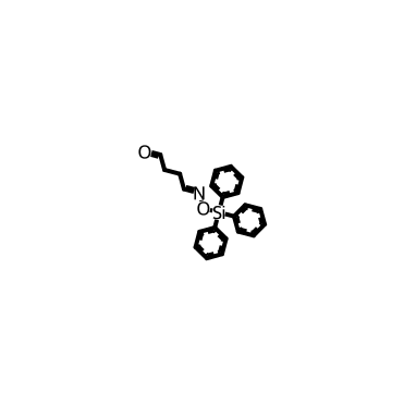 O=CCCC=NO[Si](c1ccccc1)(c1ccccc1)c1ccccc1